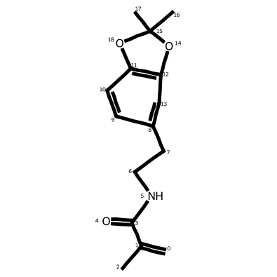 C=C(C)C(=O)NCCc1ccc2c(c1)OC(C)(C)O2